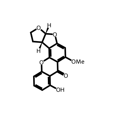 COc1cc2c(c3oc4cccc(O)c4c(=O)c13)[C@@H]1CCO[C@@H]1O2